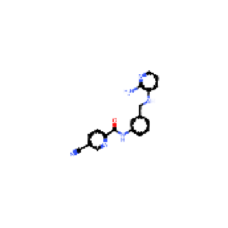 N#Cc1ccc(C(=O)Nc2cccc(CNc3cccnc3N)c2)nc1